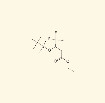 CCOC(=O)CC(O[Si](C)(C)C(C)(C)C)C(F)(F)F